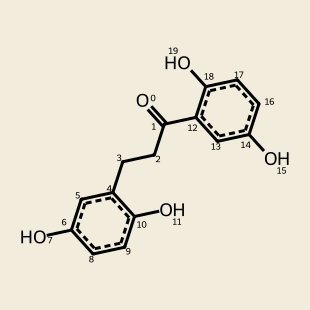 O=C(CCc1cc(O)ccc1O)c1cc(O)ccc1O